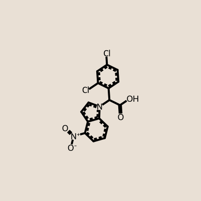 O=C(O)C(c1ccc(Cl)cc1Cl)n1ccc2c([N+](=O)[O-])cccc21